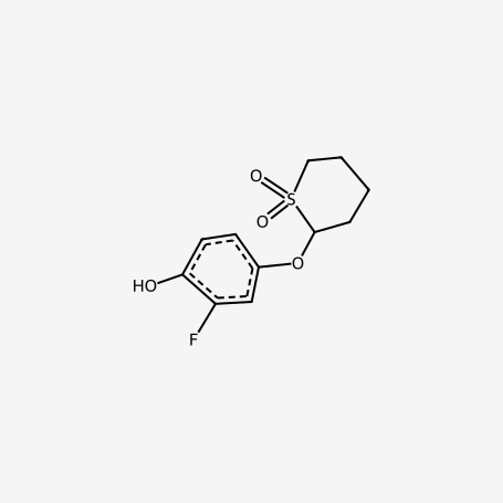 O=S1(=O)CCCCC1Oc1ccc(O)c(F)c1